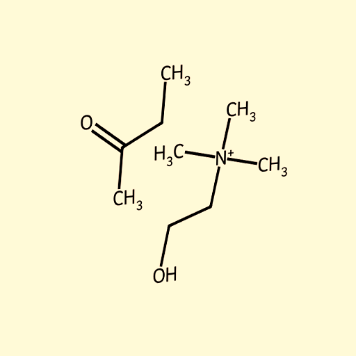 CCC(C)=O.C[N+](C)(C)CCO